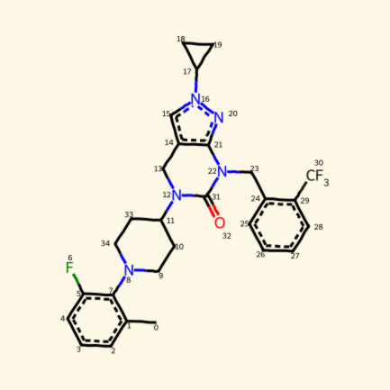 Cc1cccc(F)c1N1CCC(N2Cc3cn(C4CC4)nc3N(Cc3ccccc3C(F)(F)F)C2=O)CC1